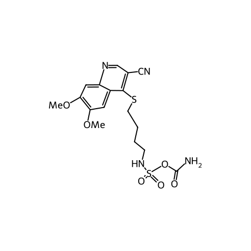 COc1cc2ncc(C#N)c(SCCCCNS(=O)(=O)OC(N)=O)c2cc1OC